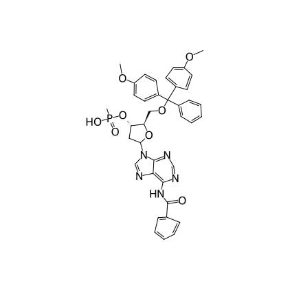 COc1ccc(C(OC[C@H]2OC(n3cnc4c(NC(=O)c5ccccc5)ncnc43)C[C@@H]2OP(C)(=O)O)(c2ccccc2)c2ccc(OC)cc2)cc1